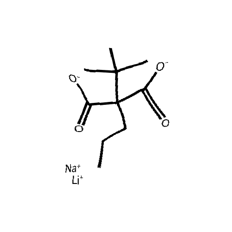 CCCC(C(=O)[O-])(C(=O)[O-])C(C)(C)C.[Li+].[Na+]